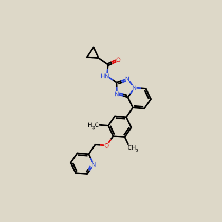 Cc1cc(-c2cccn3nc(NC(=O)C4CC4)nc23)cc(C)c1OCc1ccccn1